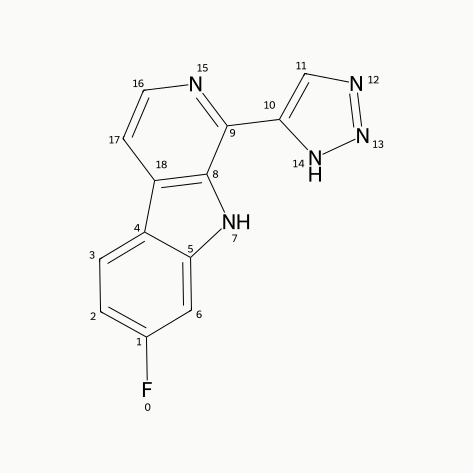 Fc1ccc2c(c1)[nH]c1c(-c3cnn[nH]3)nccc12